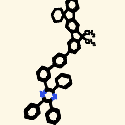 CC1(C)c2ccc(-c3ccc(-c4cccc(-c5nc(-c6ccccc6)c(-c6ccccc6)nc5C5C=CC=CC5)c4)cc3)cc2-c2cc3c(cc21)-c1ccccc1C31CCCCC1